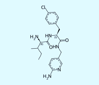 CCC(C)[C@@H](N)C(=O)N[C@@H](Cc1ccc(Cl)cc1)C(=O)NCc1ccc(N)nc1